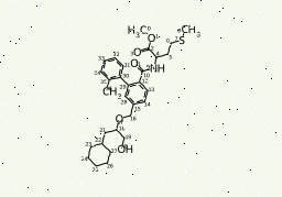 COC(=O)C(CCSC)NC(=O)c1ccc(COC(CO)CC2CCCCC2)cc1-c1ccccc1C